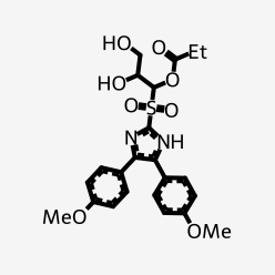 CCC(=O)OC(C(O)CO)S(=O)(=O)c1nc(-c2ccc(OC)cc2)c(-c2ccc(OC)cc2)[nH]1